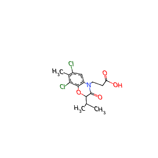 Cc1c(Cl)cc2c(c1Cl)OC(C(C)C)C(=O)N2CCC(=O)O